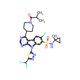 CC(C)C(=O)N1CCC(c2ncnc3c2c2cc(F)c(S(=O)(=O)NC4(C)CC4)cc2n3-c2nnc(C(F)F)s2)CC1